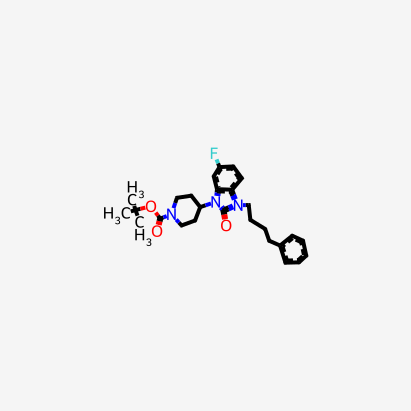 CC(C)(C)OC(=O)N1CCC(n2c(=O)n(CCCCc3ccccc3)c3ccc(F)cc32)CC1